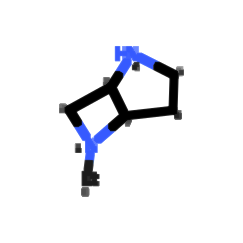 CCN1CC2NCCC21